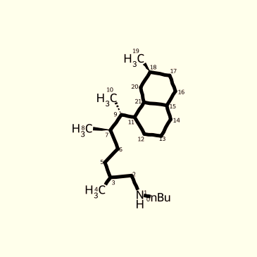 CCCCNCC(C)CC[C@@H](C)[C@H](C)C1CCCC2CC[C@H](C)CC21